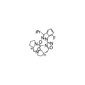 CC(C)c1nn(-c2noc(C[C@H]3CCN(C[C@H]4CCCN4S(C)(=O)=O)C3)n2)c2c(F)cccc12